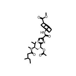 CCC(C)CC(=O)N(C)[C@H](C[C@@H](OC(C)=O)c1nc(C(=O)NC23C4C5C2C2C3C4C52C(=O)OC)cs1)C(C)C